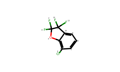 FC1(F)Oc2c(Cl)cccc2C1(F)F